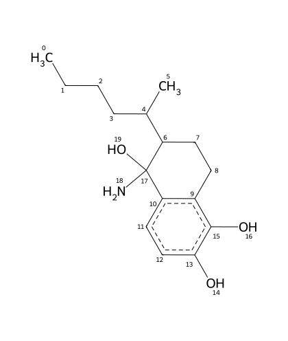 CCCCC(C)C1CCc2c(ccc(O)c2O)C1(N)O